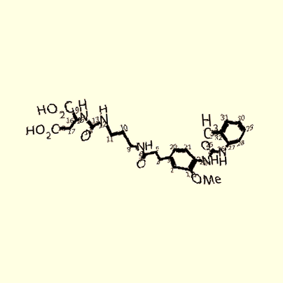 COc1cc(CCC(=O)NCCCNC(=O)NC(CC(=O)O)C(=O)O)ccc1NC(=O)Nc1ccccc1C